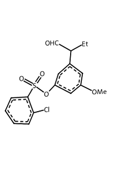 CCC(C=O)c1cc(OC)cc(OS(=O)(=O)c2ccccc2Cl)c1